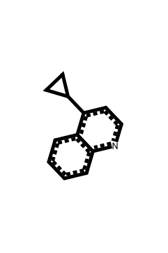 c1ccc2c(C3CC3)ccnc2c1